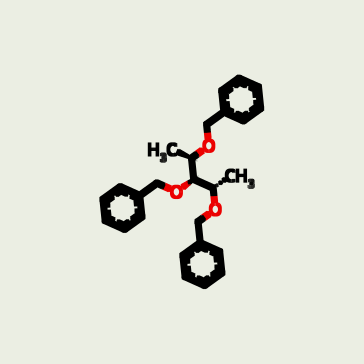 C[C@H](OCc1ccccc1)[C@@H](OCc1ccccc1)[C@@H](C)OCc1ccccc1